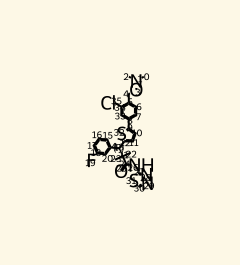 CN(C)OCc1ccc(-c2ccc([C@H](c3cccc(F)c3)C(C)(C)C(=O)Nc3nncs3)s2)cc1Cl